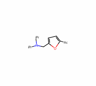 CC(=O)c1ccc(CN(C(C)C)C(C)C)o1